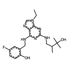 CCn1cnc2c(NCc3cc(F)ccc3O)nc(NCC(C)C(C)(C)O)nc21